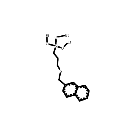 CCO[Si](CCCSCc1ccc2ccccc2c1)(OCC)OCC